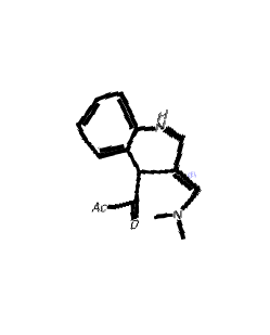 CC(=O)C(=O)C1/C(=C\N(C)C)CNc2ccccc21